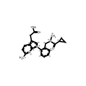 Cc1ccc2c(CC(=O)O)cn(-c3ccccc3CN(C)C(=O)C3CC3)c2n1